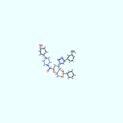 Bc1cccc(-c2cn(C3CC(C(=O)N4CCN(c5ccc(O)cc5)CC4)OC4COC(c5ccccc5)OC43)nn2)c1